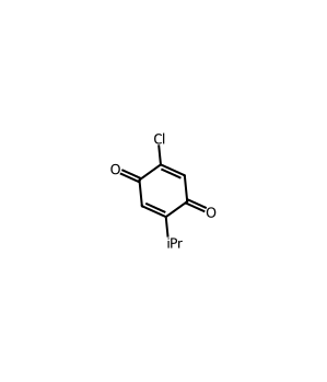 CC(C)C1=CC(=O)C(Cl)=CC1=O